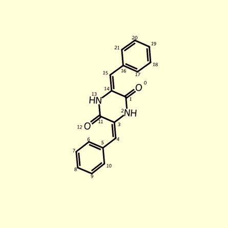 O=c1[nH]c(=Cc2ccccc2)c(=O)[nH]c1=Cc1ccccc1